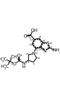 CC(C)(C)OC(=O)NC1CCN(c2cc(C(=O)O)cc3sc(N)nc23)C1